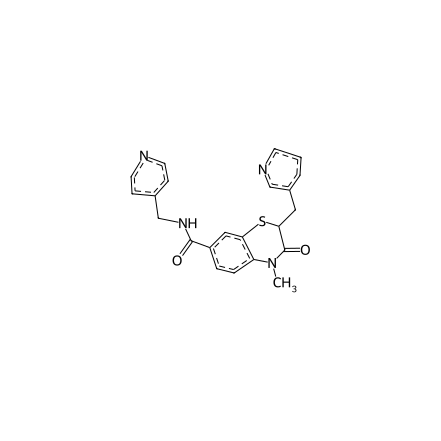 CN1C(=O)C(Cc2cccnc2)Sc2cc(C(=O)NCc3ccncc3)ccc21